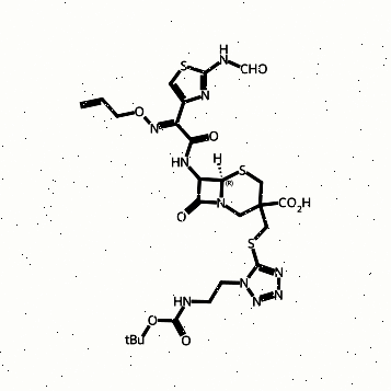 C=CCON=C(C(=O)NC1C(=O)N2CC(CSc3nnnn3CCNC(=O)OC(C)(C)C)(C(=O)O)CS[C@H]12)c1csc(NC=O)n1